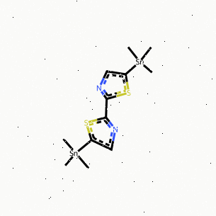 [CH3][Sn]([CH3])([CH3])[c]1cnc(-c2nc[c]([Sn]([CH3])([CH3])[CH3])s2)s1